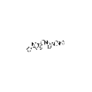 O=C(CN1CCc2c(sc3nc(C4CCCC4)ncc23)C1)N1CCN(C2CCC2)CC1